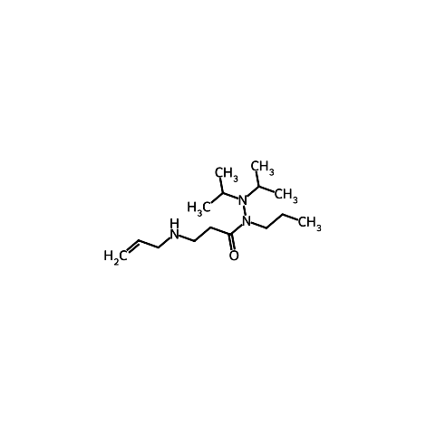 C=CCNCCC(=O)N(CCC)N(C(C)C)C(C)C